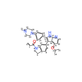 C=CC(=O)N1CCc2ccc(-c3c(-c4ccc(N5CCN(C)CC5)cc4)[nH]c4nccc(OC(C)C)c34)cc21